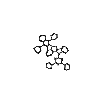 c1ccc(-c2nc(-c3ccccc3)nc(-n3c4ccccc4c4cc5c6c(cccc6c43)-c3c-5c(-c4ccccc4)c4ccccc4c3-c3ccccc3)n2)cc1